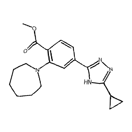 COC(=O)c1ccc(-c2nnc(C3CC3)[nH]2)cc1N1CCCCCC1